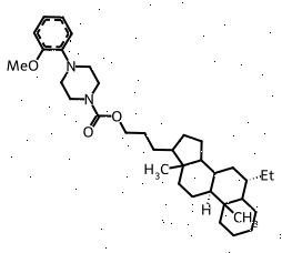 CC[C@H]1CC2C3CCC(CCCOC(=O)N4CCN(c5ccccc5OC)CC4)C3(C)CC[C@@H]2C2(C)CCCCC12